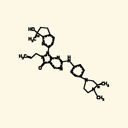 C=CCn1c(=O)c2cnc(Nc3ccc(N4CCN(C)[C@H](C)C4)cc3)nc2n1-c1ccc2c(n1)[C@](C)(O)CC2